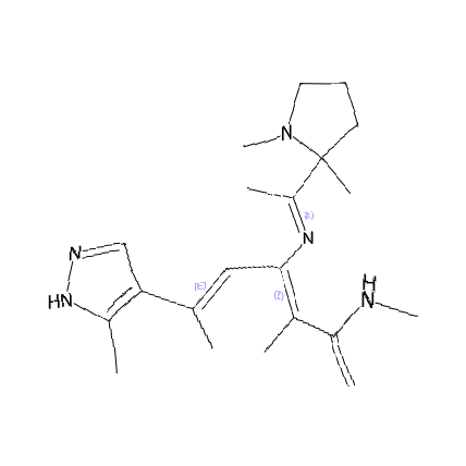 C=C(NC)/C(C)=C(/C=C(\C)c1cn[nH]c1C)\N=C(/C)C1(C)CCCN1C